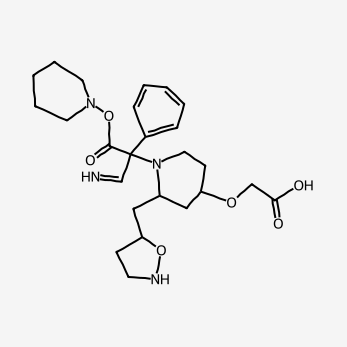 N=CC(C(=O)ON1CCCCC1)(c1ccccc1)N1CCC(OCC(=O)O)CC1CC1CCNO1